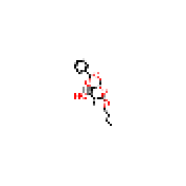 CCCCO[C@H]1OC2COC(c3ccccc3)O[C@H]2[C@H](O)C1C